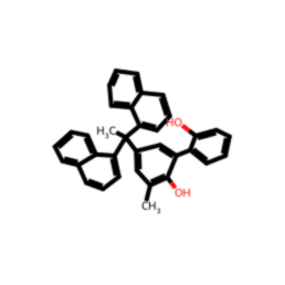 Cc1cc(C(C)(c2cccc3ccccc23)c2cccc3ccccc23)cc(-c2ccccc2O)c1O